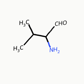 C[C](C)C(N)C=O